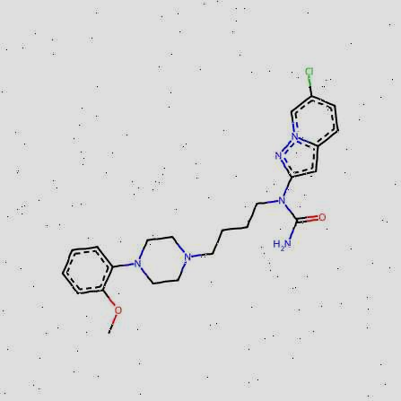 COc1ccccc1N1CCN(CCCCN(C(N)=O)c2cc3ccc(Cl)cn3n2)CC1